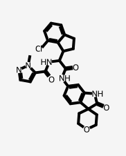 Cn1nccc1C(=O)NC(C(=O)Nc1ccc2c(c1)NC(=O)C21CCOCC1)C1CCc2cccc(Cl)c21